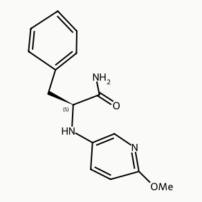 COc1ccc(N[C@@H](Cc2ccccc2)C(N)=O)cn1